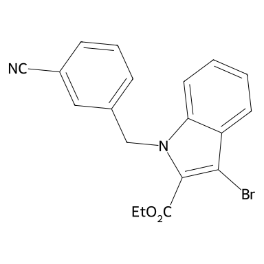 CCOC(=O)c1c(Br)c2ccccc2n1Cc1cccc(C#N)c1